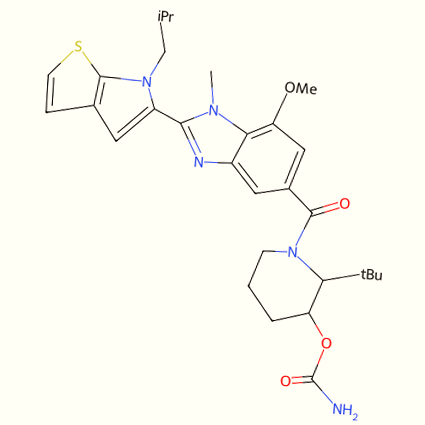 COc1cc(C(=O)N2CCCC(OC(N)=O)C2C(C)(C)C)cc2nc(-c3cc4ccsc4n3CC(C)C)n(C)c12